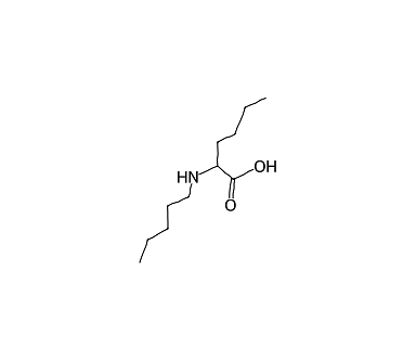 CCCCCNC(CCCC)C(=O)O